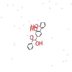 O=C(c1ccccc1)C(O)c1ccc(-c2ccccc2O)c(O)c1